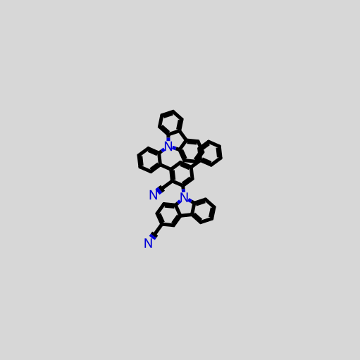 N#Cc1ccc2c(c1)c1ccccc1n2-c1cc(-c2ccccc2)cc(-c2ccccc2-n2c3ccccc3c3ccccc32)c1C#N